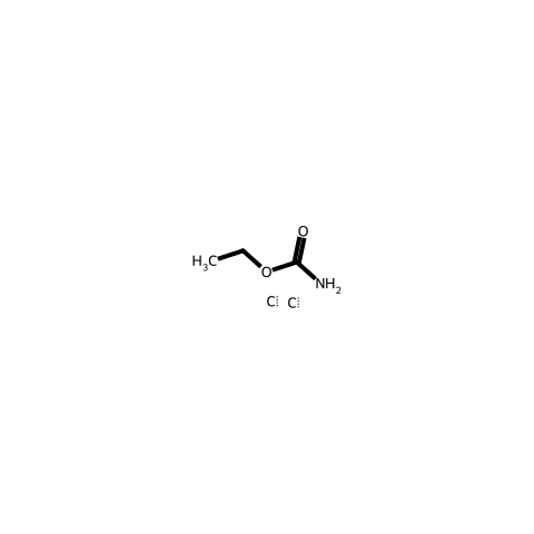 CCOC(N)=O.[C].[C]